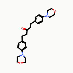 O=C(CCc1ccc(N2CCOCC2)cc1)CCc1ccc(N2CCOCC2)cc1